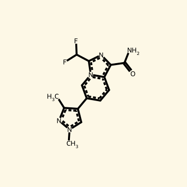 Cc1nn(C)cc1-c1ccc2c(C(N)=O)nc(C(F)F)n2c1